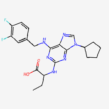 CCC(Nc1nc(NCc2ccc(F)c(F)c2)c2ncn(C3CCCC3)c2n1)C(=O)O